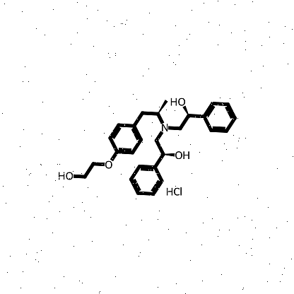 C[C@H](Cc1ccc(OCCO)cc1)N(C[C@@H](O)c1ccccc1)C[C@@H](O)c1ccccc1.Cl